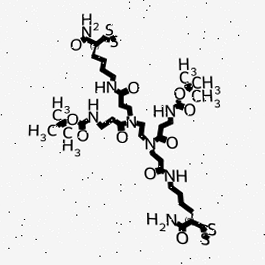 CC(C)(C)OC(=O)NCCC(=O)N(CCC(=O)NCCCC[C@@H](C(N)=O)C1SS1)CCN(CCC(=O)NCCCC[C@@H](C(N)=O)C1SS1)C(=O)CCNC(=O)OC(C)(C)C